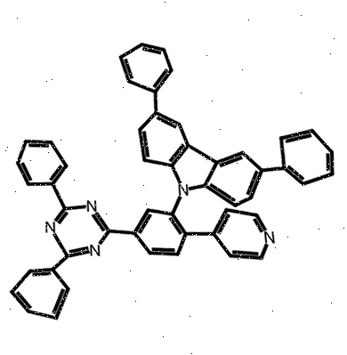 c1ccc(-c2ccc3c(c2)c2cc(-c4ccccc4)ccc2n3-c2cc(-c3nc(-c4ccccc4)nc(-c4ccccc4)n3)ccc2-c2ccncc2)cc1